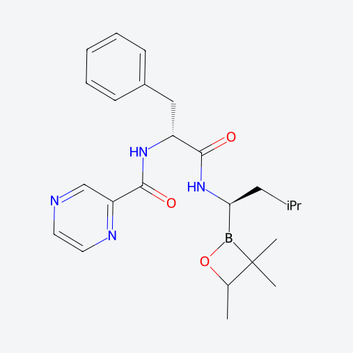 CC(C)C[C@H](NC(=O)[C@@H](Cc1ccccc1)NC(=O)c1cnccn1)B1OC(C)C1(C)C